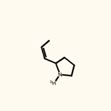 [2H]N1CCCC1/C=C\C